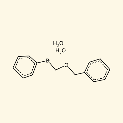 O.O.[B](COCc1ccccc1)c1ccccc1